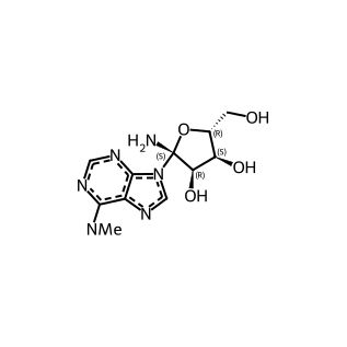 CNc1ncnc2c1ncn2[C@]1(N)O[C@H](CO)[C@@H](O)[C@H]1O